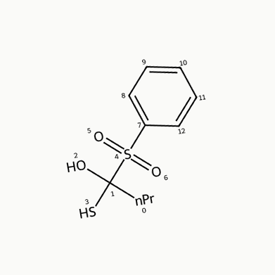 CCCC(O)(S)S(=O)(=O)c1ccccc1